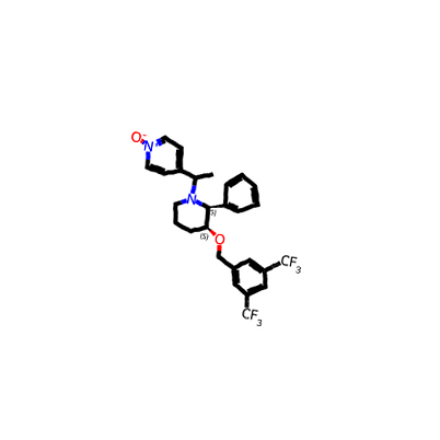 CC(c1cc[n+]([O-])cc1)N1CCC[C@H](OCc2cc(C(F)(F)F)cc(C(F)(F)F)c2)[C@@H]1c1ccccc1